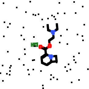 CCN(CC)CCOC(=O)C1=CCCC2CCN12.Cl